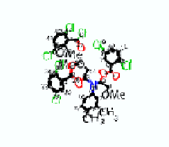 COCC(OC(=O)c1cc(Cl)ccc1Cl)N(c1ccc(C)c(C)c1)C(COC)OC(=O)c1cc(Cl)ccc1Cl.COc1c(Cl)ccc(Cl)c1C(=O)Cl